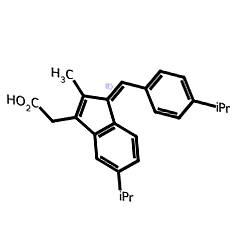 CC1=C(CC(=O)O)c2cc(C(C)C)ccc2/C1=C\c1ccc(C(C)C)cc1